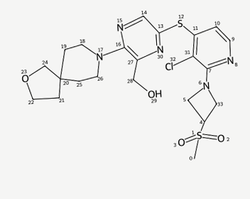 CS(=O)(=O)C1CN(c2nccc(Sc3cnc(N4CCC5(CCOC5)CC4)c(CO)n3)c2Cl)C1